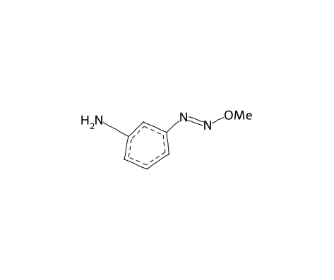 CON=Nc1cccc(N)c1